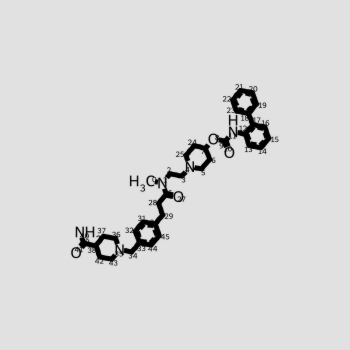 CN(CCN1CCC(OC(=O)Nc2ccccc2-c2ccccc2)CC1)C(=O)CCc1ccc(CN2CCC(C(N)=O)CC2)cc1